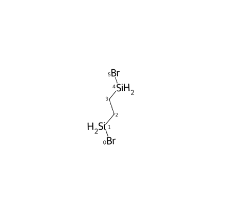 Br[SiH2]CC[SiH2]Br